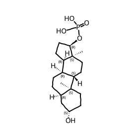 C[C@]12CC[C@H]3[C@@H](CC[C@@H]4C[C@@H](O)CC[C@@]43C)[C@H]1CC[C@H]2OP(=O)(O)O